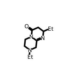 CCC1CC(=O)N2CCN(CC)CC2=N1